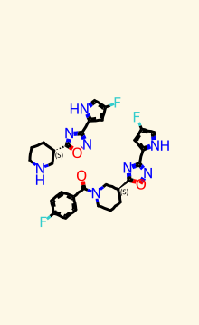 Fc1c[nH]c(-c2noc([C@H]3CCCNC3)n2)c1.O=C(c1ccc(F)cc1)N1CCC[C@H](c2nc(-c3cc(F)c[nH]3)no2)C1